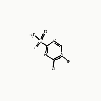 CS(=O)(=O)c1ncc(Br)c(Cl)n1